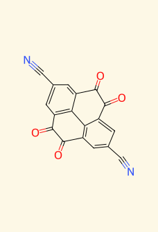 N#Cc1cc2c3c(c1)c(=O)c(=O)c1cc(C#N)cc(c1-3)c(=O)c2=O